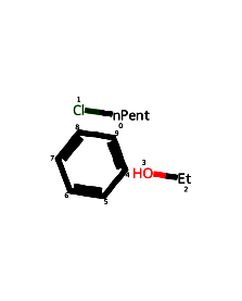 CCCCCCl.CCO.c1ccccc1